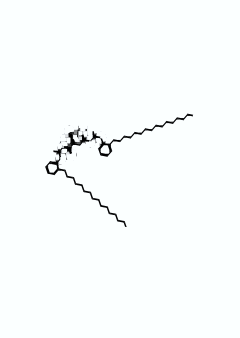 CCCCCCCCCCCCCCCCc1ccccc1OC(C)OC(=O)CC(C(=O)OC(C)Oc1ccccc1CCCCCCCCCCCCCCCC)S(=O)(=O)O